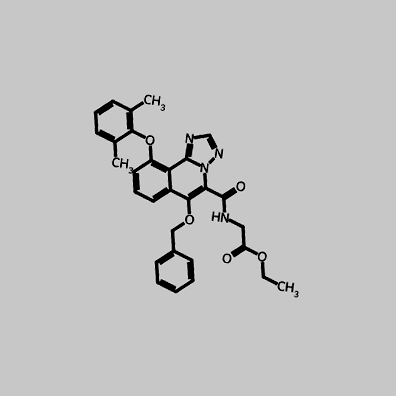 CCOC(=O)CNC(=O)c1c(OCc2ccccc2)c2cccc(Oc3c(C)cccc3C)c2c2ncnn12